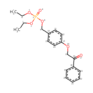 CCOP(=O)(OCC)OCc1ccc(OCC(=O)c2ccccc2)cc1